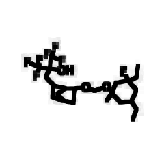 CCC1CC(F)(CC)CC(C)(OCOC2CC3CC(CC(O)(C(F)(F)F)C(F)(F)F)C2C3)C1